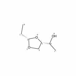 CC[C@H]1OC[C@@H](C(C)O)O1